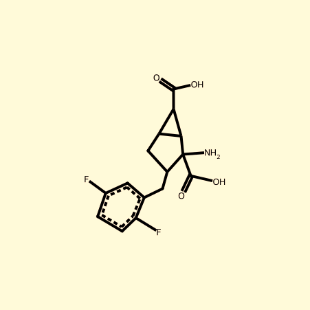 NC1(C(=O)O)C(Cc2cc(F)ccc2F)CC2C(C(=O)O)C21